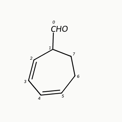 O=CC1C=CC=CCC1